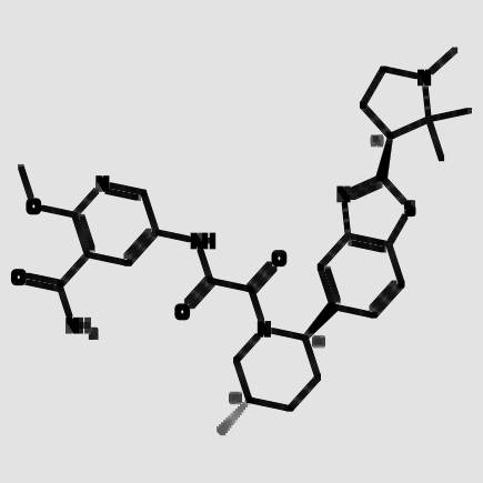 COc1ncc(NC(=O)C(=O)N2C[C@@H](C)CC[C@@H]2c2ccc3sc([C@H]4CCN(C)C4(C)C)nc3c2)cc1C(N)=O